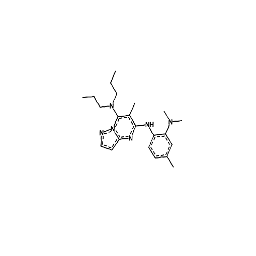 CCCN(CCC)c1c(C)c(Nc2ccc(C)cc2N(C)C)nc2ccnn12